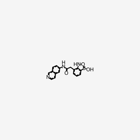 O=C(Cc1cccc2c1NOB2O)Nc1ccc2cnccc2c1